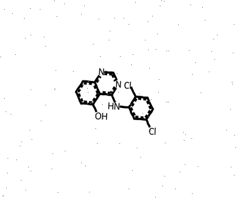 Oc1cccc2ncnc(Nc3cc(Cl)ccc3Cl)c12